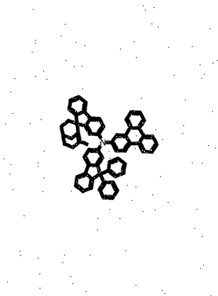 CC1=C2CC(CC1)CCC21c2ccccc2-c2ccc(N(c3ccc4c(c3)C(c3ccccc3)(c3ccccc3)c3ccccc3-4)c3ccc4c5ccccc5c5ccccc5c4c3)cc21